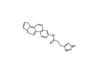 O=C(CCc1c[nH]cn1)Oc1ccc2c(ccc3c4c(ccc32)C=CC4)c1